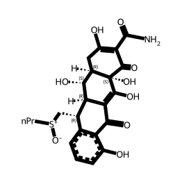 CCC[S+]([O-])C[C@H]1c2cccc(O)c2C(=O)C2=C(O)[C@]3(O)C(=O)C(C(N)=O)=C(O)C[C@@H]3[C@@H](O)[C@@H]21